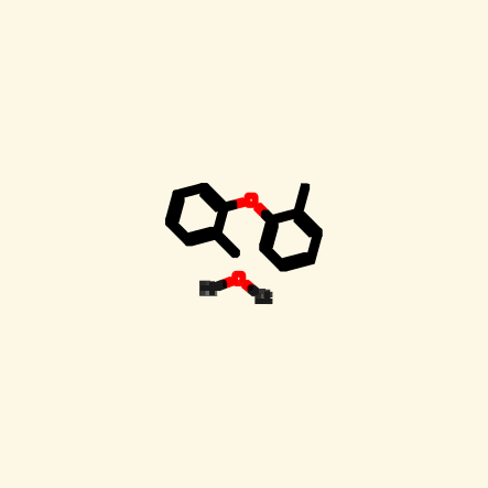 CCOCC.Cc1ccccc1Oc1ccccc1C